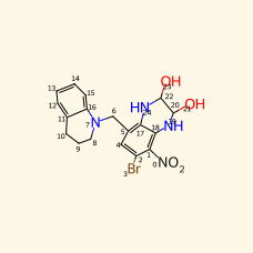 O=[N+]([O-])c1c(Br)cc(CN2CCCc3ccccc32)c2c1NC(O)C(O)N2